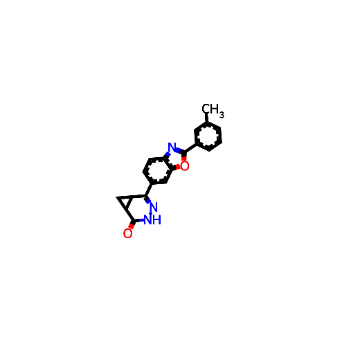 Cc1cccc(-c2nc3ccc(C4=NNC(=O)C5CC45)cc3o2)c1